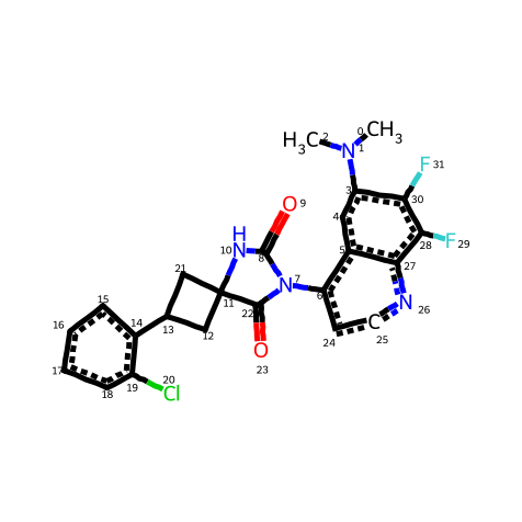 CN(C)c1cc2c(N3C(=O)NC4(CC(c5ccccc5Cl)C4)C3=O)ccnc2c(F)c1F